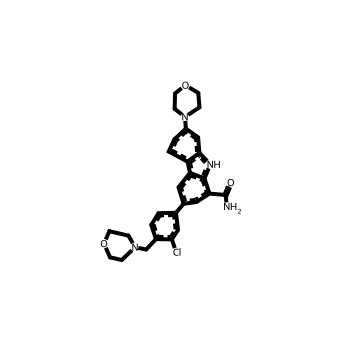 NC(=O)c1cc(-c2ccc(CN3CCOCC3)c(Cl)c2)cc2c1[nH]c1cc(N3CCOCC3)ccc12